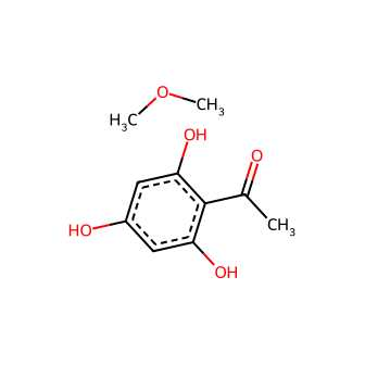 CC(=O)c1c(O)cc(O)cc1O.COC